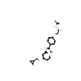 CC(=O)N[C@@H](C)COc1ccc(-c2nc3cc(OCC4CC4)ccn3n2)cc1